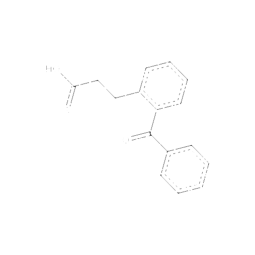 O=C(c1ccccc1)c1ccccc1CCC(O)=S